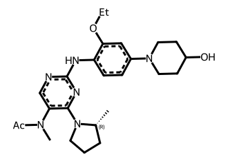 CCOc1cc(N2CCC(O)CC2)ccc1Nc1ncc(N(C)C(C)=O)c(N2CCC[C@H]2C)n1